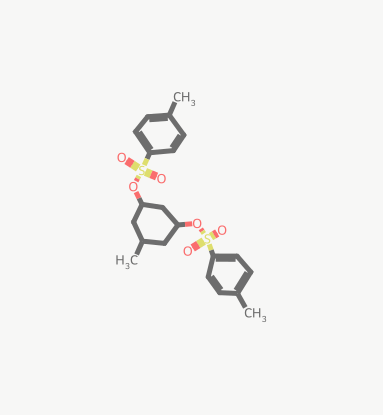 Cc1ccc(S(=O)(=O)OC2CC(C)CC(OS(=O)(=O)c3ccc(C)cc3)C2)cc1